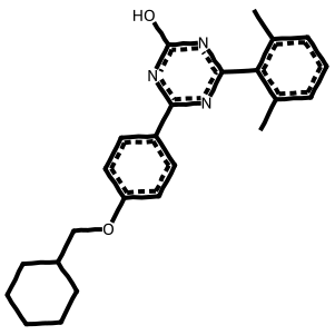 Cc1cccc(C)c1-c1nc(O)nc(-c2ccc(OCC3CCCCC3)cc2)n1